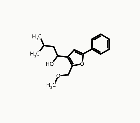 COCc1oc(-c2ccccc2)cc1C(O)CC(C)C